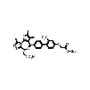 Cc1sc2c(c1C)C(c1ccc(-c3ccc(OCC(=O)OC(C)(C)C)cc3C(F)(F)F)cc1)=N[C@@H](CC(=O)O)c1nnc(C)n1-2